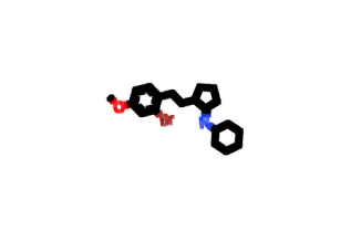 COc1ccc(CCC2CCC/C2=N\C2CCCCC2)c(Br)c1